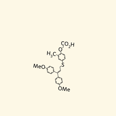 COc1ccc(C(=CCSc2ccc(OCC(=O)O)c(C)c2)c2ccc(OC)cc2)cc1